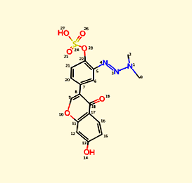 CN(C)N=Nc1cc(-c2coc3cc(O)ccc3c2=O)ccc1OS(=O)(=O)O